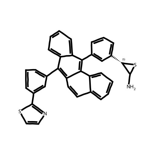 NC1S[C@H]1c1cccc(-c2c3ccccc3c(-c3cccc(-c4nccs4)c3)c3ccc4ccccc4c23)c1